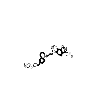 CCCc1c(OCCCN2CCCc3cc(CC(=O)O)ccc32)ccc2c(C(F)(F)F)noc12